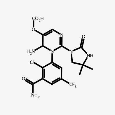 CC1(C)CN(C2=NC=C(OC(=O)O)C(N)N2c2cc(C(F)(F)F)cc(C(N)=O)c2Cl)C(=O)N1